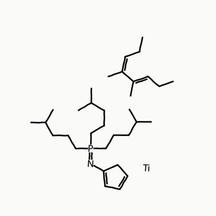 CC(C)CCCP(CCCC(C)C)(CCCC(C)C)=NC1=CC=CC1.CCC=C(C)C(C)=CCC.[Ti]